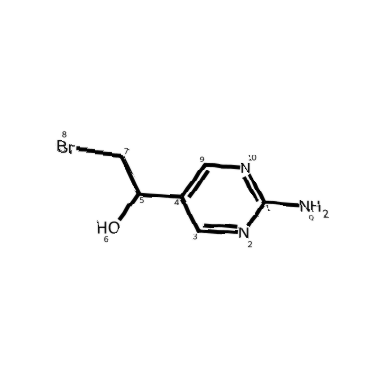 Nc1ncc(C(O)CBr)cn1